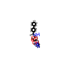 C[C@H](NC(=O)O[C@H](Cn1cncn1)C(=O)O)c1ccc(-c2ccccc2)cc1